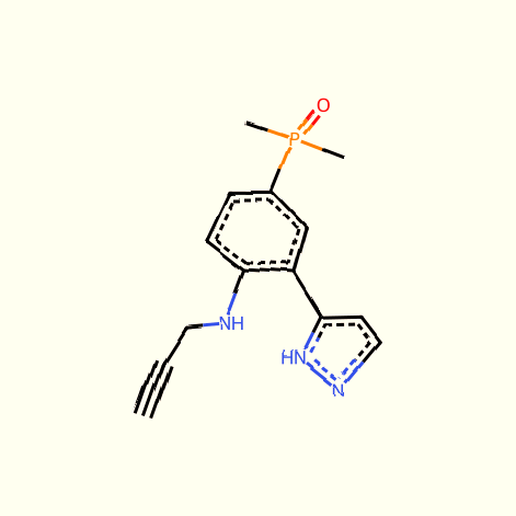 C#CCNc1ccc(P(C)(C)=O)cc1-c1ccn[nH]1